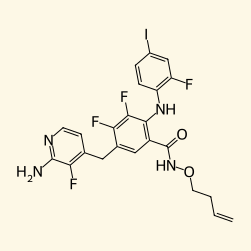 C=CCCONC(=O)c1cc(Cc2ccnc(N)c2F)c(F)c(F)c1Nc1ccc(I)cc1F